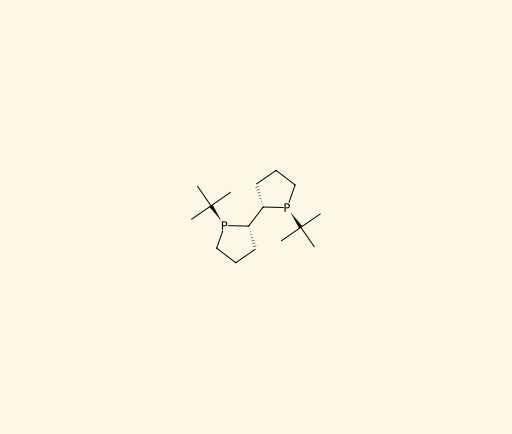 CC(C)(C)[P@]1CCC[C@H]1[C@@H]1CCC[P@@]1C(C)(C)C